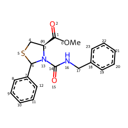 COC(=O)[C@@H]1CSC(c2ccccc2)N1C(=O)NCc1ccccc1